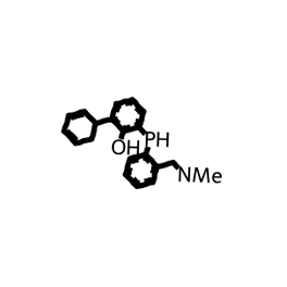 CNCc1ccccc1Pc1cccc(C2C=CC=CC2)c1O